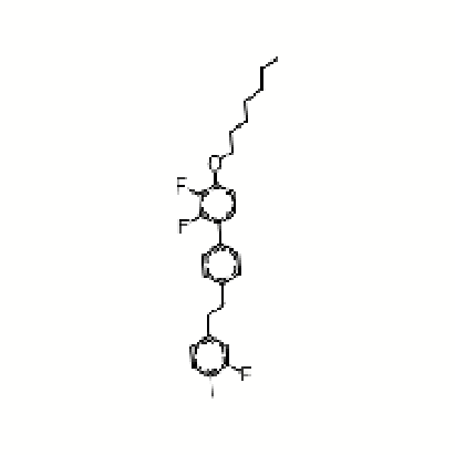 CCCCCCCOc1ccc(-c2ccc(CCc3ccc(C)c(F)c3)cc2)c(F)c1F